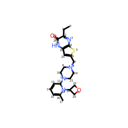 CCc1nc2sc(CN3CCN(C4C=CC=C(C)N4C4COC4)CC3)cc2[nH]c1=O